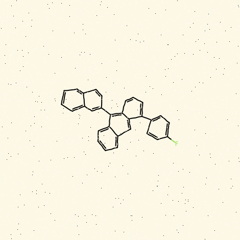 Fc1ccc(-c2cccc3c(-c4ccc5ccccc5c4)c4ccccc4cc23)cc1